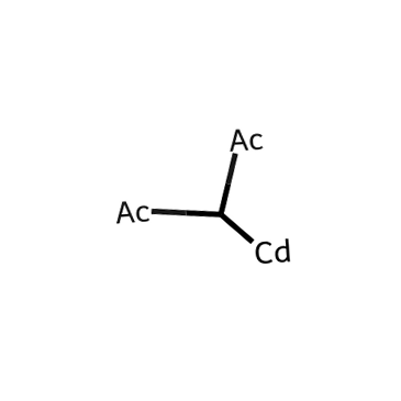 CC(=O)[CH]([Cd])C(C)=O